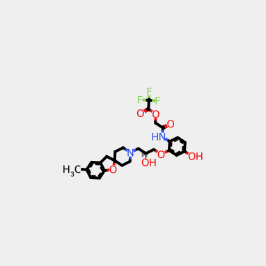 Cc1ccc2c(c1)CC1(CCN(C[C@@H](O)COc3cc(O)ccc3NC(=O)COC(=O)C(F)(F)F)CC1)O2